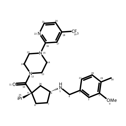 COc1cc(CN[C@@H]2CC[C@@](C(=O)N3CCN(c4cc(C(F)(F)F)ccn4)CC3)(C(C)C)C2)ccc1C